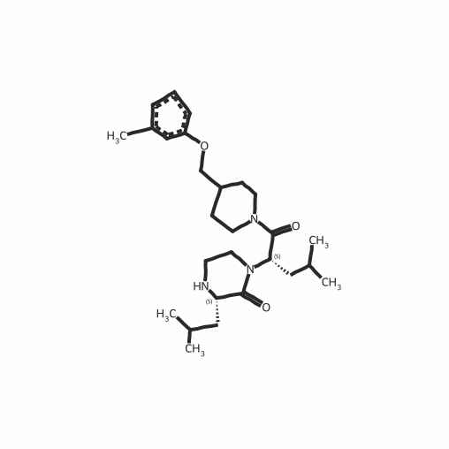 Cc1cccc(OCC2CCN(C(=O)[C@H](CC(C)C)N3CCN[C@@H](CC(C)C)C3=O)CC2)c1